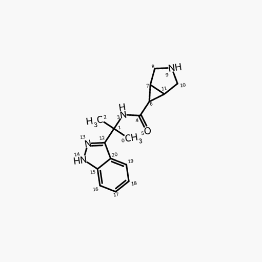 CC(C)(NC(=O)C1C2CNCC21)c1n[nH]c2ccccc12